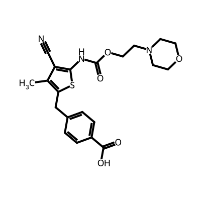 Cc1c(Cc2ccc(C(=O)O)cc2)sc(NC(=O)OCCN2CCOCC2)c1C#N